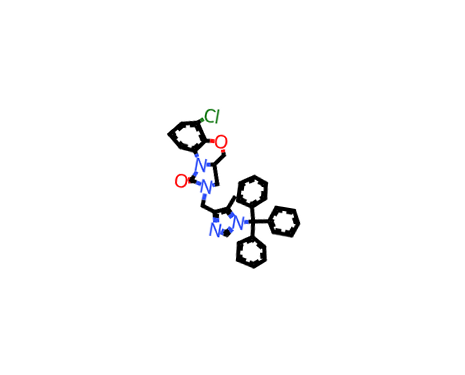 Cc1c(CN2CC3COc4c(Cl)cccc4N3C2=O)ncn1C(c1ccccc1)(c1ccccc1)c1ccccc1